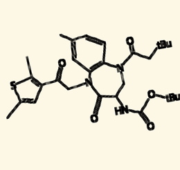 Cc1ccc2c(c1)N(CC(=O)c1cc(C)sc1C)C(=O)C(NC(=O)OC(C)(C)C)CN2C(=O)CC(C)(C)C